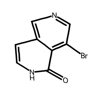 O=c1[nH]ccc2cncc(Br)c12